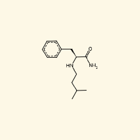 CC(C)CCN[C@@H](Cc1ccccc1)C(N)=O